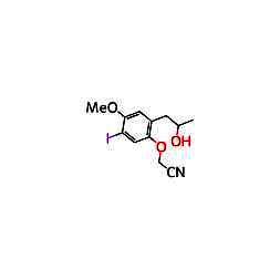 COc1cc(CC(C)O)c(OCC#N)cc1I